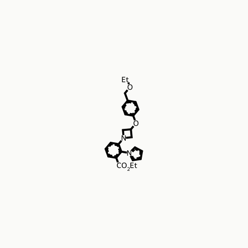 CCOCc1ccc(OC2CN(c3cccc(C(=O)OCC)c3-n3cccc3)C2)cc1